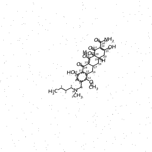 CCCCN(C)Cc1cc(O)c2c(c1OC)CC1C[C@H]3CC(O)=C(C(N)=O)C(=O)[C@@]3(O)C(O)=C1C2=O